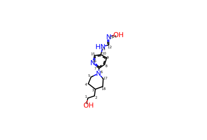 OCCC1CCN(c2ccc(N/C=N/O)cn2)CC1